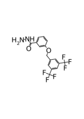 NNC(=O)c1cccc(OCc2cc(C(F)(F)F)cc(C(F)(F)F)c2)c1